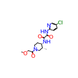 COCC(=O)N1CC[C@H](NC(=O)C(=O)Nc2ccc(Cl)cn2)[C@H](C)C1